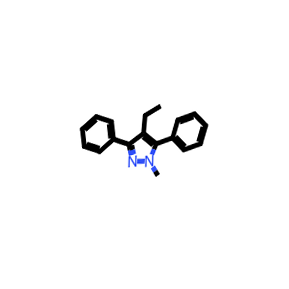 CCc1c(-c2ccccc2)nn(C)c1-c1ccccc1